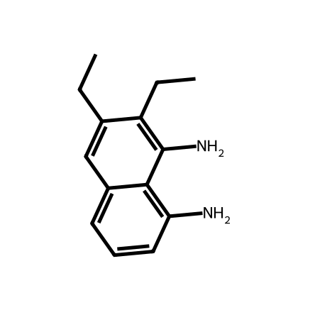 CCc1cc2cccc(N)c2c(N)c1CC